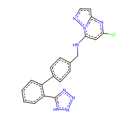 Clc1cc(NCc2ccc(-c3ccccc3-c3nnn[nH]3)cc2)n2nccc2n1